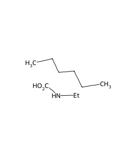 CCCCCC.CCNC(=O)O